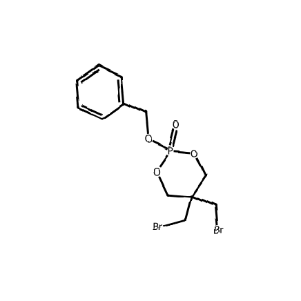 O=P1(OCc2ccccc2)OCC(CBr)(CBr)CO1